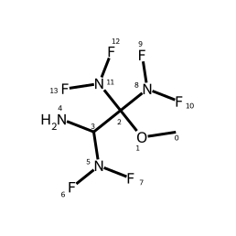 COC(C(N)N(F)F)(N(F)F)N(F)F